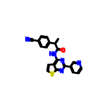 CC(C(=O)Nc1nc(-c2cccnc2)nc2sccc12)c1ccc(C#N)cc1